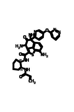 C=CC(=O)N[C@H]1CCCC[C@H]1NC(=O)c1sc2c(N)ccc3c2c1C(N)C(=O)C3(N)c1ccc(Oc2cccnn2)cn1